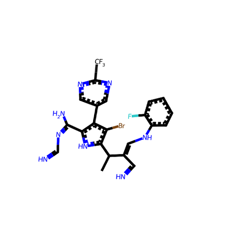 CC(/C(C=N)=C/Nc1ccccc1F)c1[nH]c(/C(N)=N\C=N)c(-c2cnc(C(F)(F)F)nc2)c1Br